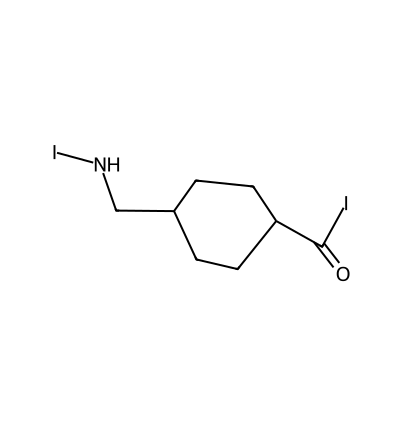 O=C(I)C1CCC(CNI)CC1